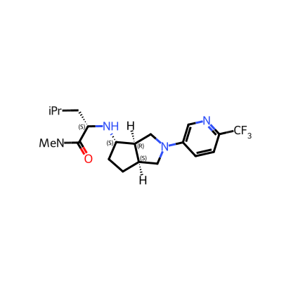 CNC(=O)[C@H](CC(C)C)N[C@H]1CC[C@@H]2CN(c3ccc(C(F)(F)F)nc3)C[C@@H]21